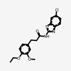 CCOc1ccc(CCC(=O)Nc2nc3ccc(Cl)cc3s2)cc1OC